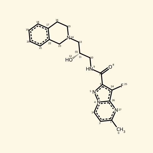 Cc1ccn2nc(C(=O)NC[C@H](O)CN3CCc4ccccc4C3)c(F)c2n1